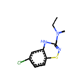 CCN(C)C1=NSc2ccc(Cl)cc2N1